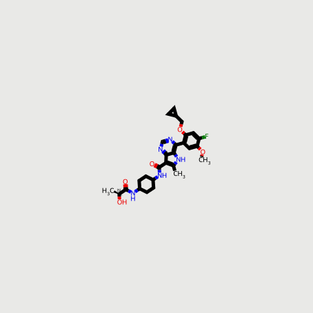 COc1cc(-c2ncnc3c(C(=O)NC4CCC(NC(=O)[C@H](C)O)CC4)c(C)[nH]c23)c(OCC2CC2)cc1F